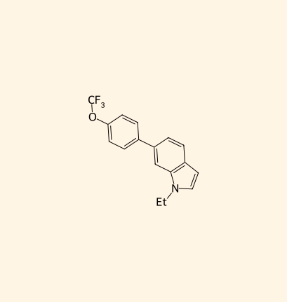 CCn1ccc2ccc(-c3ccc(OC(F)(F)F)cc3)cc21